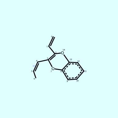 C=CC1=C(/C=C\C)Oc2ccccc2O1